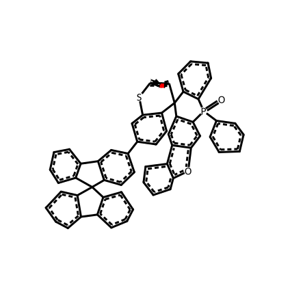 O=P1(c2ccccc2)c2ccccc2C2(c3ccccc3Sc3cc(-c4ccc5c(c4)-c4ccccc4C54c5ccccc5-c5ccccc54)ccc32)c2cc3c(cc21)oc1ccccc13